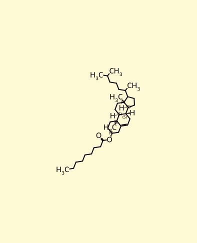 CCCCCCCCC(=O)O[C@H]1CC[C@@]2(C)C(=CC[C@@H]3[C@@H]2CC[C@]2(C)C(C(C)CCCC(C)C)CC[C@@H]32)C1